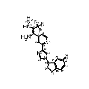 NN/C(=C(\N)c1ccnc(-c2cn(C3CCc4ccc(F)cc43)cn2)c1)C(F)(F)F